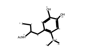 CC(=O)NC(CI)Cc1cc(O)c(O)cc1N(C)C